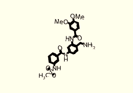 COc1ccc(C(=O)Nc2cc(NC(=O)c3cccc(NS(C)(=O)=O)c3)ccc2CN)cc1OC